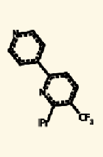 CC(C)c1nc(-c2ccncc2)ccc1C(F)(F)F